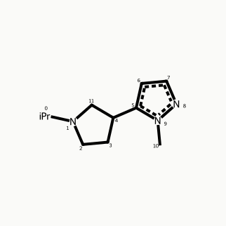 CC(C)N1CCC(c2ccnn2C)C1